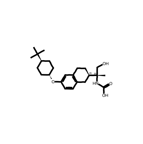 CC(C)(C)[C@H]1CC[C@H](Oc2ccc3c(c2)CC[C@@H]([C@](C)(CO)NC(=O)O)C3)CC1